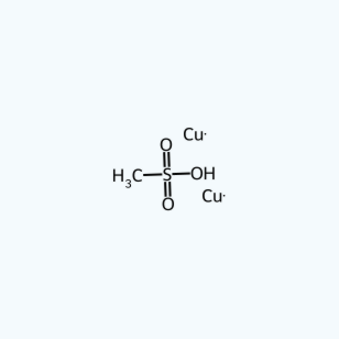 CS(=O)(=O)O.[Cu].[Cu]